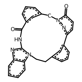 O=C1Nc2nc3ccccc3n2CCc2cccc(c2)-c2ccc(=O)n(n2)Cc2cccc1c2